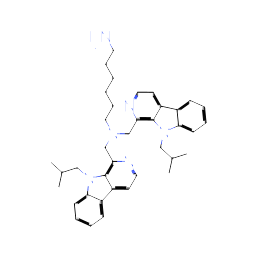 CC(C)Cn1c2ccccc2c2ccnc(CN(CCCCCCN)Cc3nccc4c5ccccc5n(CC(C)C)c34)c21